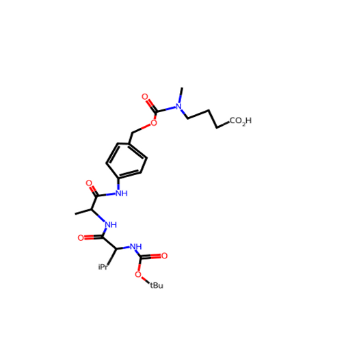 CC(NC(=O)C(NC(=O)OC(C)(C)C)C(C)C)C(=O)Nc1ccc(COC(=O)N(C)CCCC(=O)O)cc1